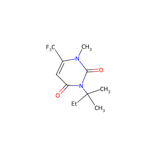 CCC(C)(C)n1c(=O)cc(C(F)(F)F)n(C)c1=O